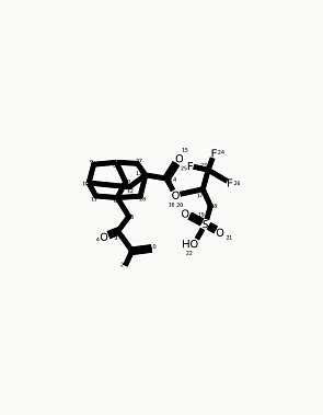 C=C(C)C(=O)CC12CC3CC(C1)CC(C(=O)OC(CS(=O)(=O)O)C(F)(F)F)(C3)C2